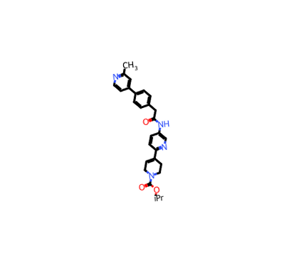 Cc1cc(-c2ccc(CC(=O)Nc3ccc(C4=CCN(C(=O)OC(C)C)CC4)nc3)cc2)ccn1